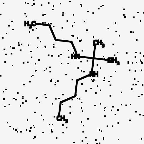 CCCCNC(C)([SiH3])NCCCC